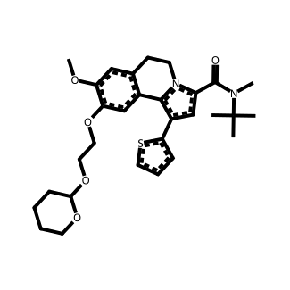 COc1cc2c(cc1OCCOC1CCCCO1)-c1c(-c3cccs3)cc(C(=O)N(C)C(C)(C)C)n1CC2